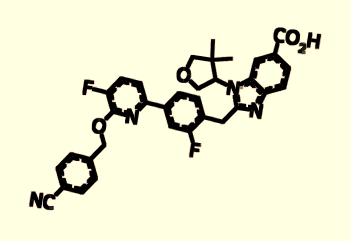 CC1(C)COCC1n1c(Cc2ccc(-c3ccc(F)c(OCc4ccc(C#N)cc4)n3)cc2F)nc2ccc(C(=O)O)cc21